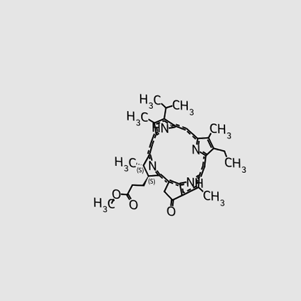 CCC1=C(C)c2cc3[nH]c(cc4nc(c5c6[nH]c(cc1n2)c(C)c6C(=O)C5)[C@@H](CCC(=O)OC)[C@@H]4C)c(C)c3C(C)C